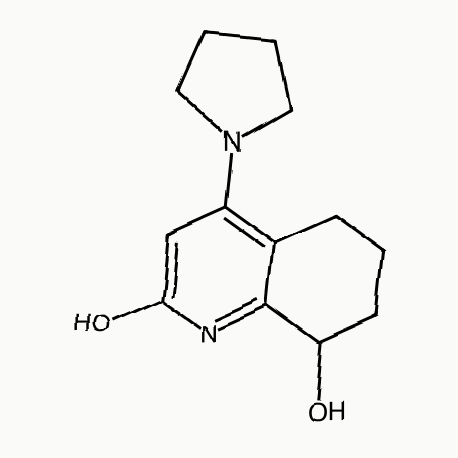 Oc1cc(N2CCCC2)c2c(n1)C(O)CCC2